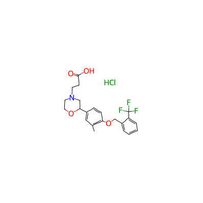 Cc1cc(C2CN(CCC(=O)O)CCO2)ccc1OCc1ccccc1C(F)(F)F.Cl